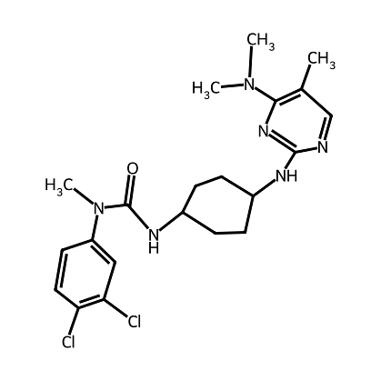 Cc1cnc(NC2CCC(NC(=O)N(C)c3ccc(Cl)c(Cl)c3)CC2)nc1N(C)C